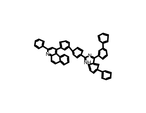 N=C(N=C(c1cccc(-c2ccccc2)c1)c1cccc(-c2ccccc2)c1)c1ccc(-c2cccc(-c3cc(-c4ccccc4)nc4ccc5ccccc5c34)c2)cc1